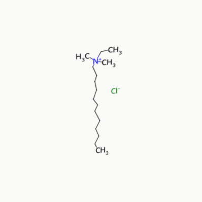 CCCCCCCCCCCC[N+](C)(C)CC.[Cl-]